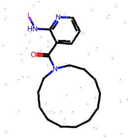 O=C(c1cccnc1NI)N1CCCCCCCCCCCC1